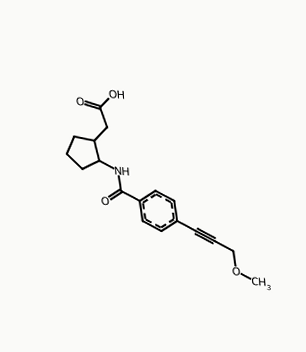 COCC#Cc1ccc(C(=O)NC2CCCC2CC(=O)O)cc1